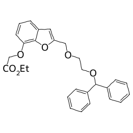 CCOC(=O)COc1cccc2cc(COCCOC(c3ccccc3)c3ccccc3)oc12